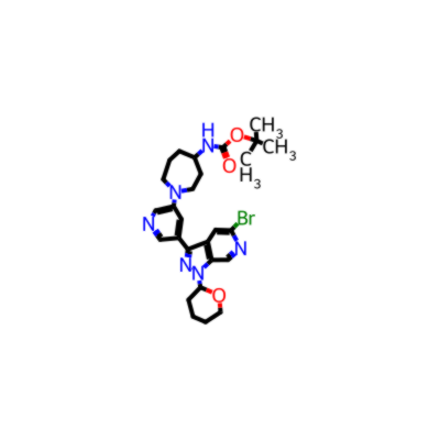 CC(C)(C)OC(=O)NC1CCCN(c2cncc(-c3nn(C4CCCCO4)c4cnc(Br)cc34)c2)CC1